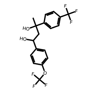 CC(O)(CC(O)c1ccc(OC(F)(F)F)cc1)c1ccc(C(F)(F)F)cc1